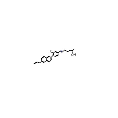 C=CCc1ccc2cc(-c3ccc(/C=C/CCCC(C)O)cc3F)ccc2c1